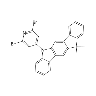 CC1(C)c2ccccc2-c2cc3c(cc21)c1ccccc1n3-c1cc(Br)nc(Br)c1